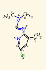 Cc1cc(Br)cnc1N=CN(C)C